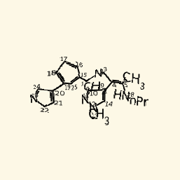 C=C(/N=C\C(=C(/C)NCCC)c1cnn(C)c1)c1cccc(C2=CCN=C2)c1